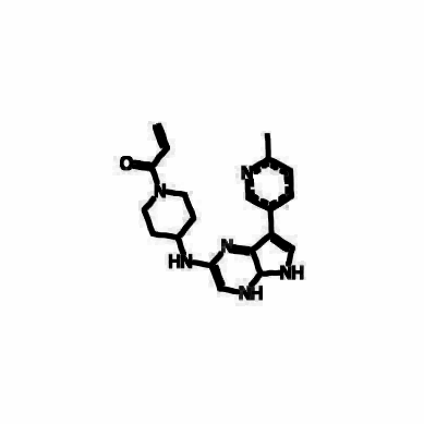 C=CC(=O)N1CCC(NC2=CNC3NC=C(c4ccc(C)nc4)C3=N2)CC1